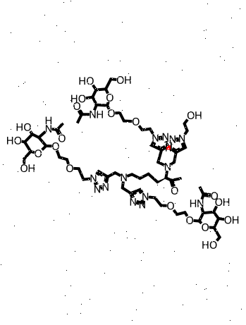 CC(=O)NC1C(OCCOCCn2cc(CN(CCCC[C@H](C(C)=O)N(Cc3cn(CCO)nn3)Cc3cn(CCOCCOC4OC(CO)C(O)C(O)C4NC(C)=O)nn3)Cc3cn(CCOCCOC4OC(CO)C(O)C(O)C4NC(C)=O)nn3)nn2)OC(CO)C(O)C1O